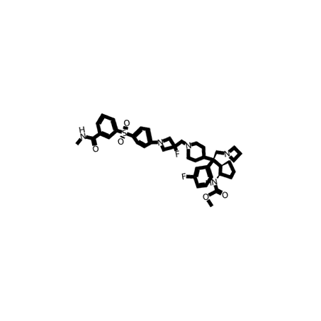 CNC(=O)c1cccc(S(=O)(=O)c2ccc(N3CC(F)(CN4CCC([C@@](CN5CCC5)(c5cccc(F)c5)[C@H]5CCC[C@@H]5NC(=O)OC)CC4)C3)cc2)c1